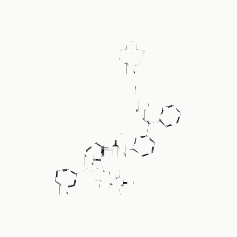 CS(=O)(=O)OC1SC(c2cccnc2)n2ccc(C(=O)Nc3cccc(C(=NOCCCN4CCOCC4)c4ccccc4)c3)c21